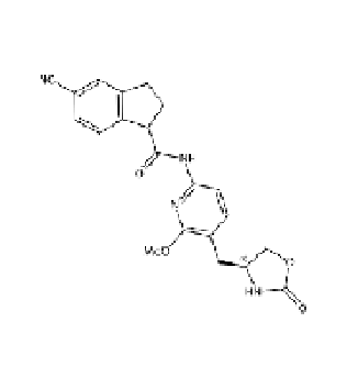 COc1nc(NC(=O)C2CCc3cc(C#N)ccc32)ccc1C[C@H]1COC(=O)N1